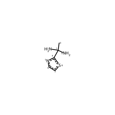 CC(N)(N)c1nccs1